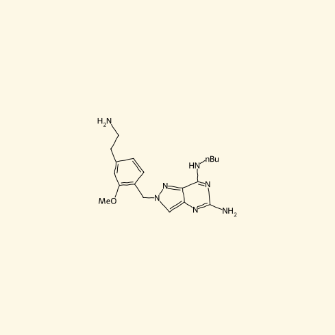 CCCCNc1nc(N)nc2cn(Cc3ccc(CCN)cc3OC)nc12